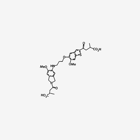 COc1cc2c(cc1NCCCOc1cc3cc(C(=O)CC(C)C(=O)O)sc3cc1OC)CN(C(=O)CC(C)C(=O)O)C2